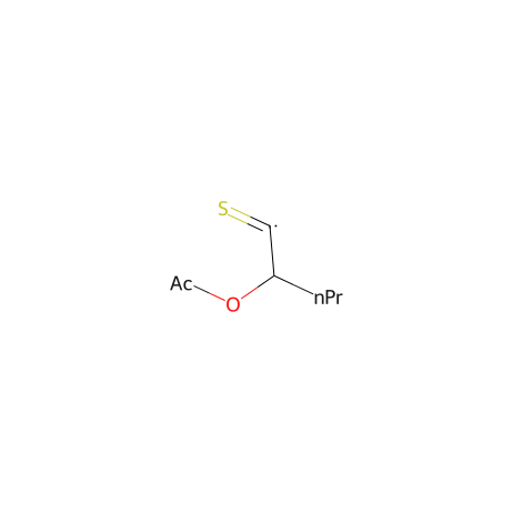 CCCC([C]=S)OC(C)=O